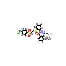 CC(C)(C)c1cccc(C(=O)Nc2ccccc2SCCS(=O)(=O)c2ccc(Cl)cc2)c1C(=O)O